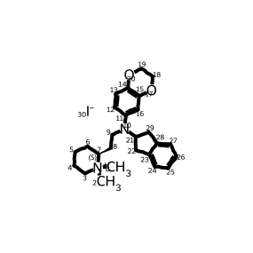 C[N+]1(C)CCCC[C@H]1CCN(c1ccc2c(c1)OCCO2)C1Cc2ccccc2C1.[I-]